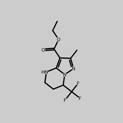 CCOC(=O)c1c(C)nn2c1NCCC2C(F)(F)F